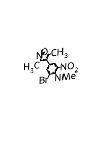 CNc1c(Br)cc(-c2c(C)noc2C)cc1[N+](=O)[O-]